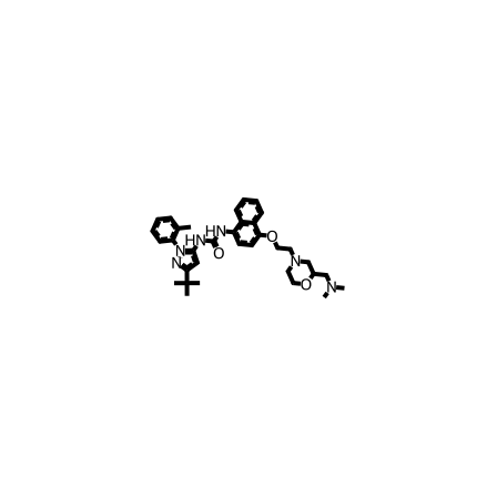 Cc1ccccc1-n1nc(C(C)(C)C)cc1NC(=O)Nc1ccc(OCCN2CCOC(CN(C)C)C2)c2ccccc12